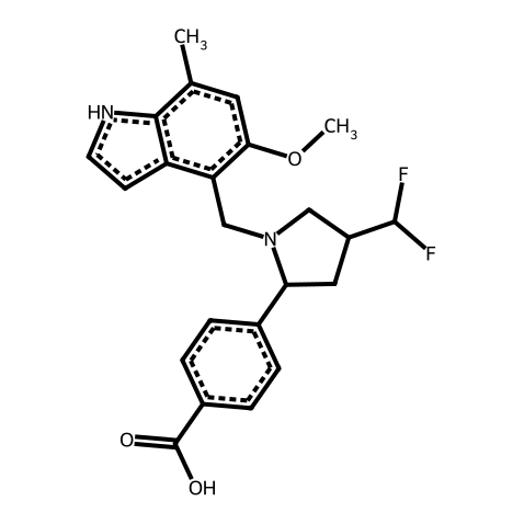 COc1cc(C)c2[nH]ccc2c1CN1CC(C(F)F)CC1c1ccc(C(=O)O)cc1